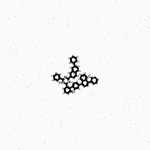 CC1CC=CC=C1c1ccc(-c2ccc3c(c2)oc2cccc(C4N=C(c5ccc6ccc(-c7ccccc7)cc6c5)N=C(c5ccccc5)N4)c23)c2ccccc12